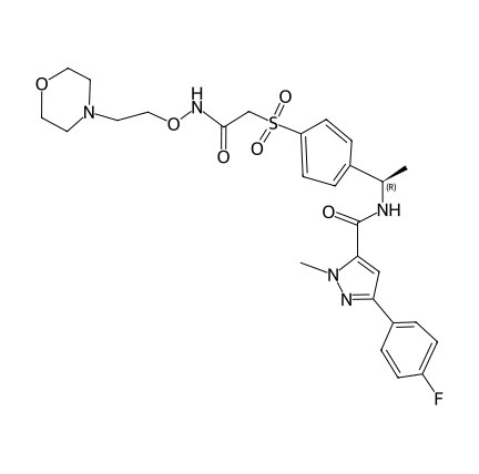 C[C@@H](NC(=O)c1cc(-c2ccc(F)cc2)nn1C)c1ccc(S(=O)(=O)CC(=O)NOCCN2CCOCC2)cc1